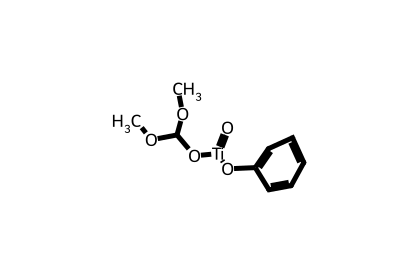 COC(OC)[O][Ti](=[O])[O]c1ccccc1